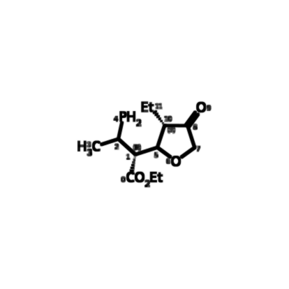 CCOC(=O)[C@H](C(C)P)C1OCC(=O)[C@H]1CC